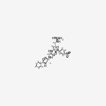 C[C@H](NC(=O)c1ccccc1)C(=O)NCC(=O)N[C@@H](CCCNC(=N)N)C(=O)Nc1ccc([N+](=O)[O-])cc1